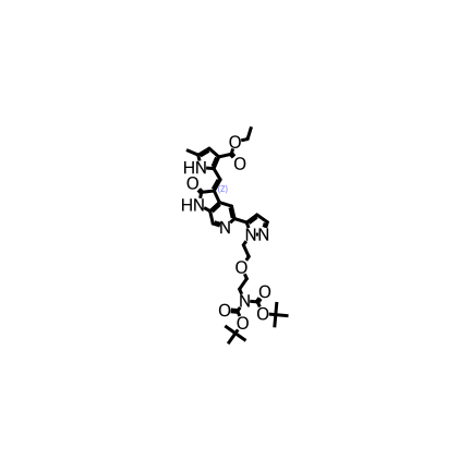 CCOC(=O)c1cc(C)[nH]c1/C=C1\C(=O)Nc2cnc(-c3ccnn3CCOCCN(C(=O)OC(C)(C)C)C(=O)OC(C)(C)C)cc21